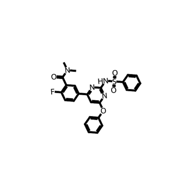 CN(C)C(=O)c1cc(-c2cc(Oc3ccccc3)nc(NS(=O)(=O)c3ccccc3)n2)ccc1F